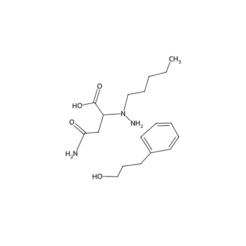 CCCCCN(N)C(CC(N)=O)C(=O)O.OCCCc1ccccc1